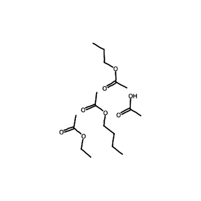 CC(=O)O.CCCCOC(C)=O.CCCOC(C)=O.CCOC(C)=O